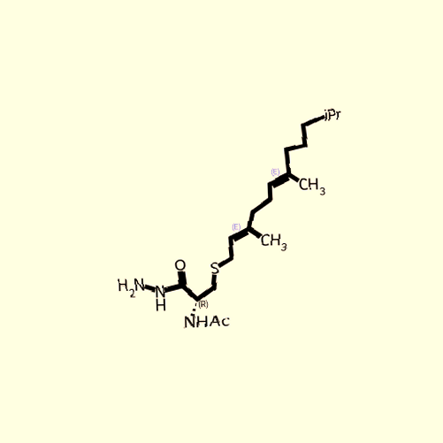 CC(=O)N[C@@H](CSC/C=C(\C)CC/C=C(\C)CCCC(C)C)C(=O)NN